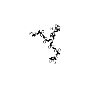 BC(C)(C)CC(C)(C)SCC(C)C(=O)OCCOC(=O)CCN(CCC(=O)OCCOC(=O)C(C)CSC(C)(C)C(C)C)Cc1cn(CCC(B)(C)OCC)nn1